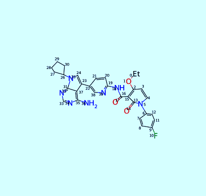 CCOc1ccn(-c2ccc(F)cc2)c(=O)c1C(=O)Nc1ccc(-c2cn(C3CCCC3)c3ncnc(N)c23)cn1